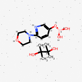 CC(C)(O)C(C)(C)O.OB(O)Oc1ccc(N2CCOCC2)nc1